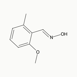 COc1cccc(C)c1/C=N/O